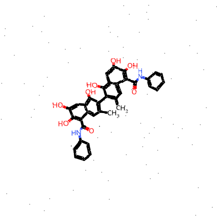 Cc1cc2c(C(=O)Nc3ccccc3)c(O)c(O)cc2c(O)c1-c1c(C)cc2c(C(=O)Nc3ccccc3)c(O)c(O)cc2c1O